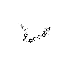 Cc1cc(-c2ccnc(Nc3ccc(C4CCN(C5CCN(c6ccc7c(c6)C(=O)N(C6CCC(=O)NC6=O)C7=O)CC5)CC4)cc3)n2)ccc1CNC(=O)N1CC(OC(C)C)C1